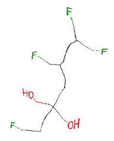 OC(O)(CF)CC(F)C(F)F